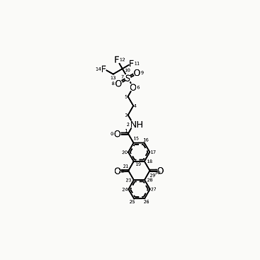 O=C(NCCCOS(=O)(=O)C(F)(F)CF)c1ccc2c(c1)C(=O)c1ccccc1C2=O